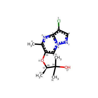 Cc1nc2c(Cl)cnn2cc1O[C@H](C)C(C)(C)O